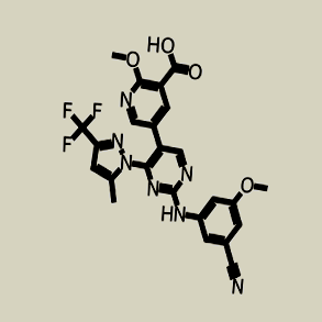 COc1cc(C#N)cc(Nc2ncc(-c3cnc(OC)c(C(=O)O)c3)c(-n3nc(C(F)(F)F)cc3C)n2)c1